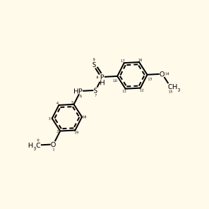 COc1ccc(PS[PH](=S)c2ccc(OC)cc2)cc1